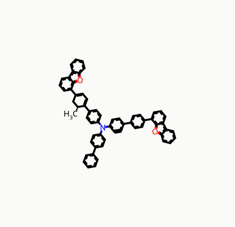 C[C@H]1CC(c2cccc3c2oc2ccccc23)=CC=C1c1ccc(N(c2c#cc(-c3ccc(-c4cccc5c4oc4ccccc45)cc3)cc2)c2ccc(-c3ccccc3)cc2)cc1